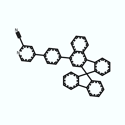 N#Cc1cc(-c2ccc(-c3cc4c(c5ccccc35)-c3ccccc3C43c4ccccc4-c4ccccc43)cc2)ccn1